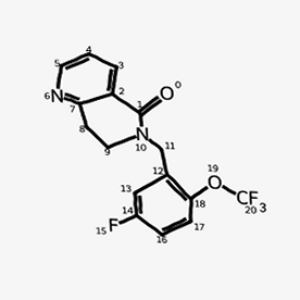 O=C1c2cccnc2CCN1Cc1cc(F)ccc1OC(F)(F)F